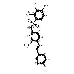 Cc1nc(NS(=O)(=O)c2ccc(F)c(F)c2Cl)ccc1/C=C/c1cnc(F)nc1